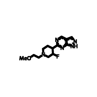 COCCN1CCC(c2ncc3cn[nH]c3n2)C(F)C1